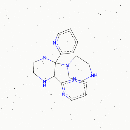 c1ccc(C2(N3CCNCC3)[N]CCNC2c2ncccn2)nc1